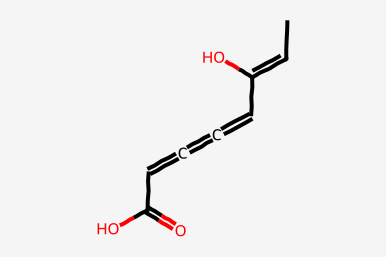 CC=C(O)C=C=C=CC(=O)O